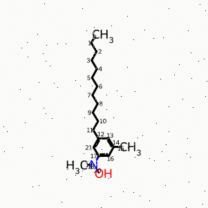 CCCCCCCCCCCCc1cc(C)cc(N(C)O)c1